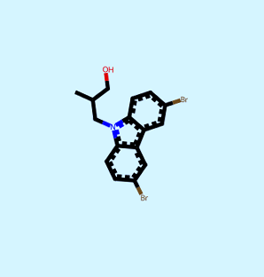 CC(CO)Cn1c2ccc(Br)cc2c2cc(Br)ccc21